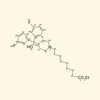 CCOC(=O)CCCCCCCCN1CCC(C(O)(c2cccc(F)c2)c2cccc(F)c2)CC1